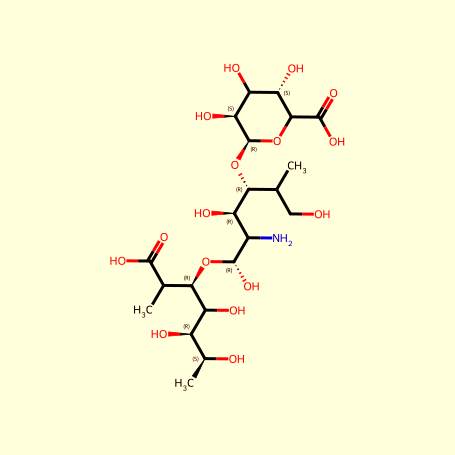 CC(C(=O)O)[C@@H](O[C@@H](O)C(N)[C@@H](O)[C@H](O[C@@H]1OC(C(=O)O)[C@@H](O)C(O)[C@@H]1O)C(C)CO)C(O)[C@H](O)[C@H](C)O